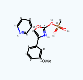 COc1cccc(-c2coc(OS(C)(=O)=O)n2)c1.c1ccncc1